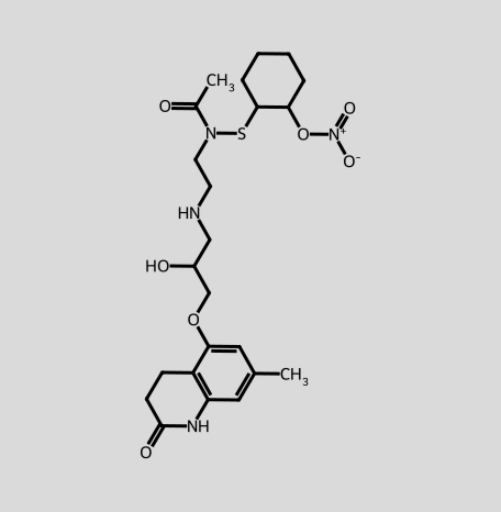 CC(=O)N(CCNCC(O)COc1cc(C)cc2c1CCC(=O)N2)SC1CCCCC1O[N+](=O)[O-]